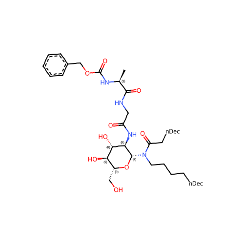 CCCCCCCCCCCCCCN(C(=O)CCCCCCCCCCC)[C@@H]1O[C@H](CO)[C@@H](O)[C@H](O)[C@H]1NC(=O)CNC(=O)[C@H](C)NC(=O)OCc1ccccc1